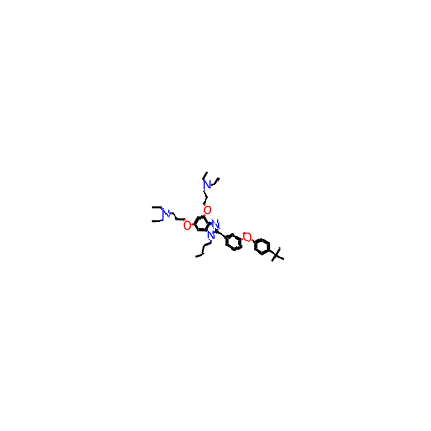 CCCCn1c(-c2cccc(Oc3ccc(C(C)(C)C)cc3)c2)nc2c(OCCCN(CC)CC)cc(OCCCN(CC)CC)cc21